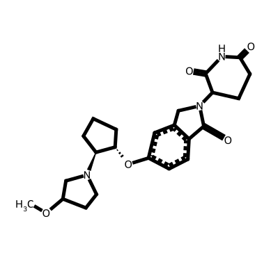 COC1CCN([C@H]2CCC[C@@H]2Oc2ccc3c(c2)CN(C2CCC(=O)NC2=O)C3=O)C1